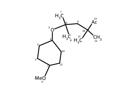 COC1CCC(OC(C)(C)CC(C)(C)C(C)=O)CC1